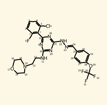 Fc1cccc(Cl)c1-c1nc(NCCN2CCOCC2)nc(NN=Cc2ccc(OC(F)(F)F)cc2)n1